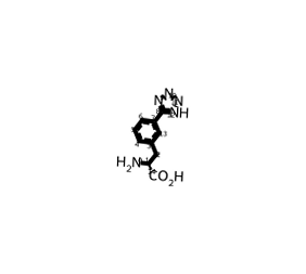 N[C@@H](Cc1cccc(-c2nnn[nH]2)c1)C(=O)O